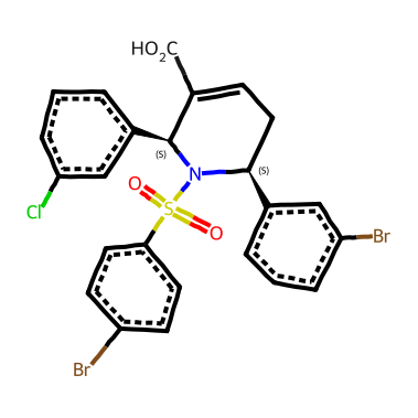 O=C(O)C1=CC[C@@H](c2cccc(Br)c2)N(S(=O)(=O)c2ccc(Br)cc2)[C@H]1c1cccc(Cl)c1